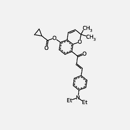 CCN(CC)c1ccc(C=CC(=O)c2ccc(OC(=O)C3CC3)c3c2OC(C)(C)C=C3)cc1